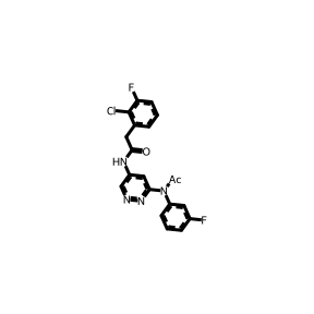 CC(=O)N(c1cccc(F)c1)c1cc(NC(=O)Cc2cccc(F)c2Cl)cnn1